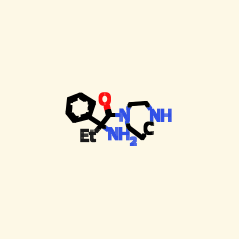 [CH2]CC(N)(C(=O)N1CCCNCC1)c1ccccc1